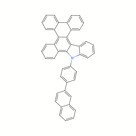 c1ccc2cc(-c3ccc(-n4c5ccccc5c5c6c7ccccc7c7ccccc7c6c6ccccc6c54)cc3)ccc2c1